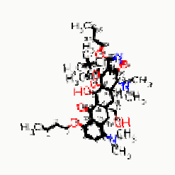 CCCCOc1ccc(N(C)C)c2c1C(=O)C1=C(O)[C@]3(O[Si](C)(C)C(C)(C)C)C(=O)c4c(OCCCC)noc4[C@@H](N(C)C)[C@@H]3C[C@]1(CO)C2